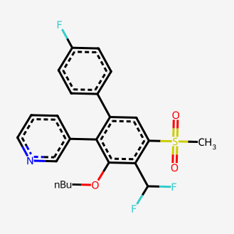 CCCCOc1c(-c2cccnc2)c(-c2ccc(F)cc2)cc(S(C)(=O)=O)c1C(F)F